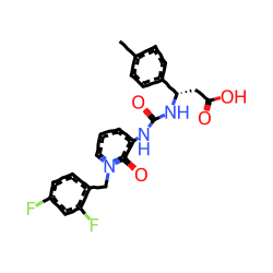 Cc1ccc([C@H](CC(=O)O)NC(=O)Nc2cccn(Cc3ccc(F)cc3F)c2=O)cc1